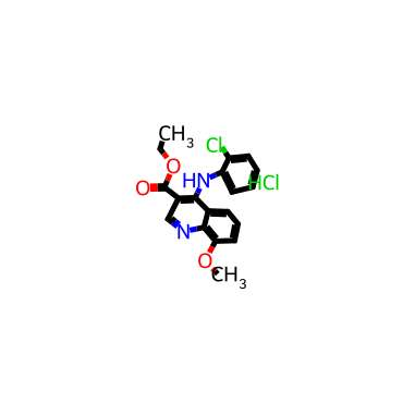 CCOC(=O)c1cnc2c(OC)cccc2c1Nc1ccccc1Cl.Cl